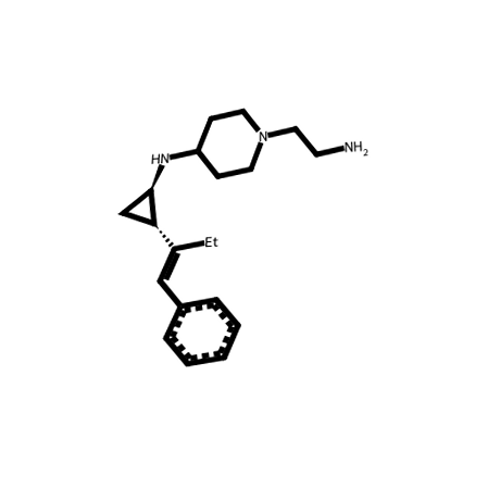 CC/C(=C\c1ccccc1)[C@@H]1C[C@H]1NC1CCN(CCN)CC1